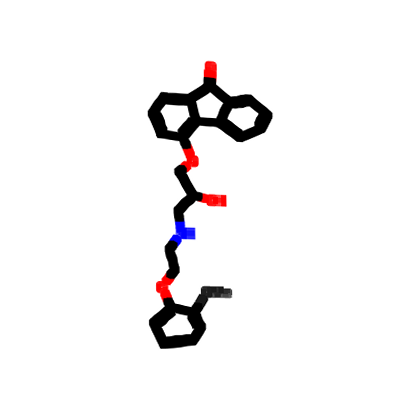 COc1ccccc1OCCNCC(O)COc1cccc2c1-c1ccccc1C2=O